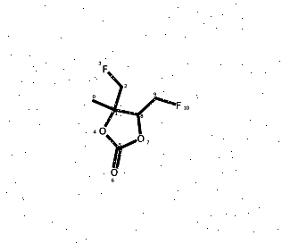 CC1(CF)OC(=O)OC1CF